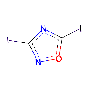 Ic1noc(I)n1